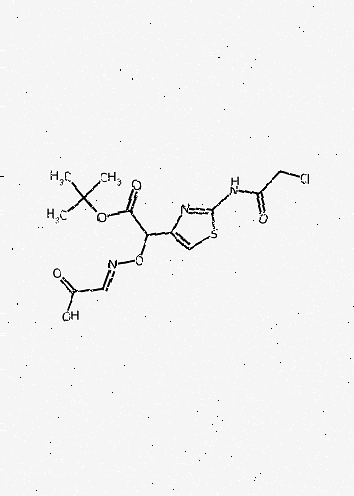 CC(C)(C)OC(=O)C(ON=CC(=O)O)c1csc(NC(=O)CCl)n1